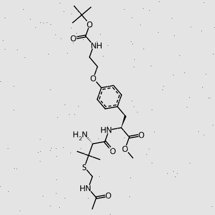 COC(=O)[C@H](Cc1ccc(OCCNC(=O)OC(C)(C)C)cc1)NC(=O)[C@@H](N)C(C)(C)SCNC(C)=O